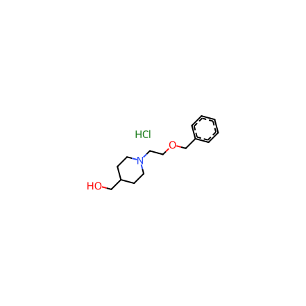 Cl.OCC1CCN(CCOCc2ccccc2)CC1